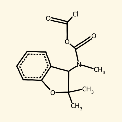 CN(C(=O)OC(=O)Cl)C1c2ccccc2OC1(C)C